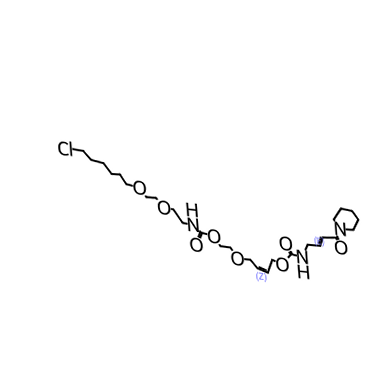 O=C(NC/C=C/C(=O)N1CCCCC1)OC/C=C\COCCOC(=O)NCCOCCOCCCCCCCl